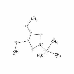 CC(C)(C)N1CC(CN)C(CO)C1